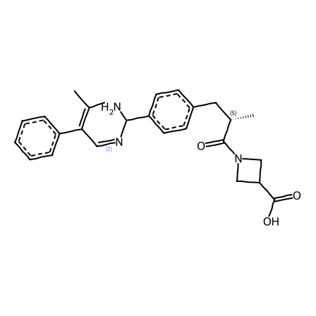 CC(C)=C(/C=N\C(N)c1ccc(C[C@H](C)C(=O)N2CC(C(=O)O)C2)cc1)c1ccccc1